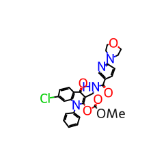 COC(=O)Oc1c(CNC(=O)c2ccc(N3CCOCC3)nc2)c(=O)c2ccc(Cl)cc2n1-c1ccccc1